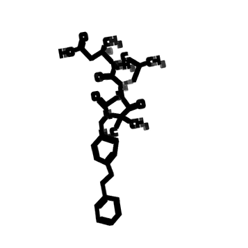 CC(C)C[C@@H](C(=O)N[C@H](C)CC(=O)O)N1C(=O)N(Cc2ccc(CCc3ccccc3)cc2)C(C)(C)C1=O